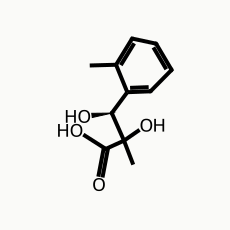 Cc1ccccc1[C@H](O)C(C)(O)C(=O)O